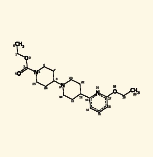 CCOC(=O)N1CCC(N2CCC(c3cccc(OCC)n3)CC2)CC1